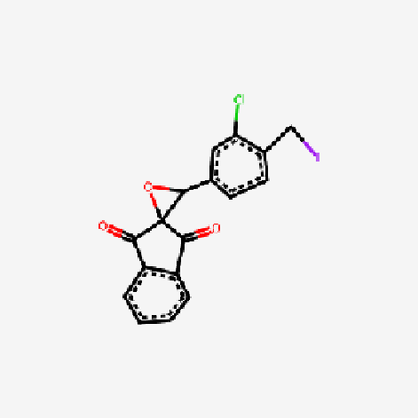 O=C1c2ccccc2C(=O)C12OC2c1ccc(CI)c(Cl)c1